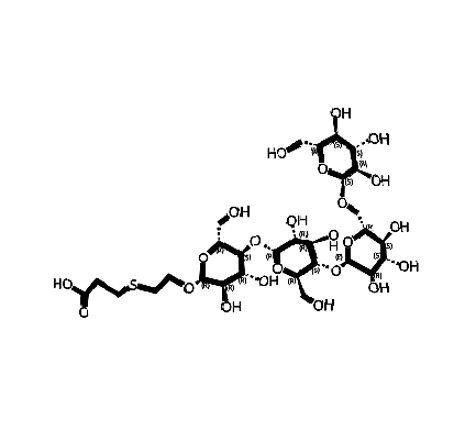 O=C(O)CCSCCO[C@@H]1O[C@H](CO)[C@@H](O[C@H]2O[C@H](CO)[C@@H](O[C@H]3O[C@H](CO[C@H]4O[C@H](CO)[C@@H](O)[C@H](O)[C@H]4O)[C@@H](O)[C@H](O)[C@H]3O)[C@H](O)[C@H]2O)[C@H](O)[C@H]1O